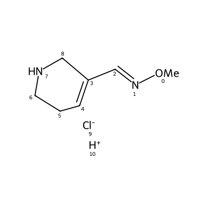 CO/N=C/C1=CCCNC1.[Cl-].[H+]